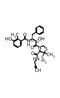 C#CCNC(=O)[C@H]1N(C(=O)[C@@H](O)[C@H](Cc2ccccc2)NC(=O)c2cccc(O)c2C)CSC1(C)C